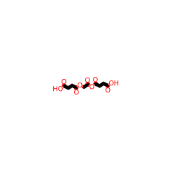 O=C(O)CCC(=O)OCC(=O)OC(=O)CCC(=O)O